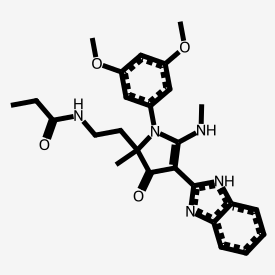 CCC(=O)NCCC1(C)C(=O)C(c2nc3ccccc3[nH]2)=C(NC)N1c1cc(OC)cc(OC)c1